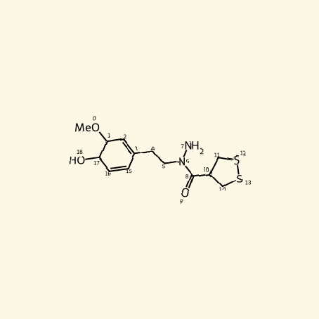 COC1C=C(CCN(N)C(=O)C2CSSC2)C=CC1O